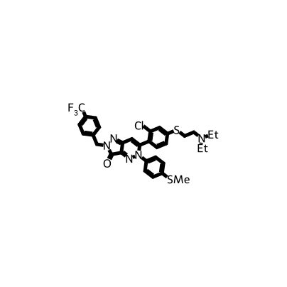 CCN(CC)CCSc1ccc(-c2cc3nn(Cc4ccc(C(F)(F)F)cc4)c(=O)c-3nn2-c2ccc(SC)cc2)c(Cl)c1